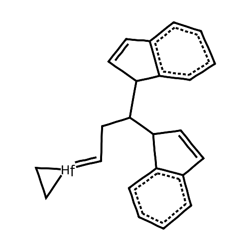 C1=CC(C(C[CH]=[Hf]2[CH2][CH2]2)C2C=Cc3ccccc32)c2ccccc21